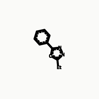 CCc1nnc(-c2ccccc2)o1